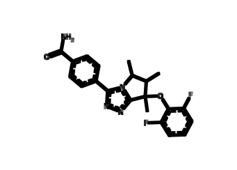 CC1C(C)C(C)(Oc2c(F)cccc2F)c2nnc(-c3ccc(C(N)=O)cc3)n21